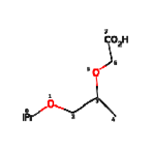 CC(C)OCC(C)OCC(=O)O